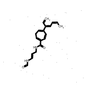 C=C/C(=C\C=C/C)C1=CCC=C(C(=O)NC/C=C/NC=O)C=C1